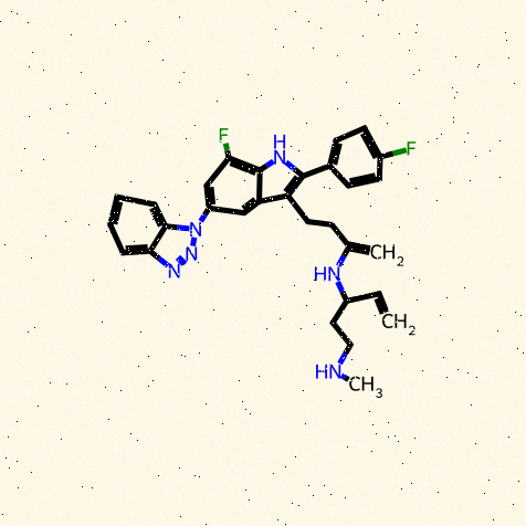 C=CC(CCNC)NC(=C)CCc1c(-c2ccc(F)cc2)[nH]c2c(F)cc(-n3nnc4ccccc43)cc12